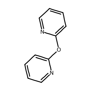 c1ccc(Oc2ccccn2)nc1